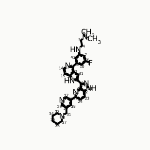 CN(C)CCNc1cc(F)cc(-c2nccc3[nH]c(-c4n[nH]c5ccc(-c6cncc(CN7CCCCC7)c6)nc45)cc23)c1